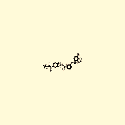 CC(C)(C)OC(=O)NC1CCc2nc(NC(=O)c3cccc(CNc4ncc(Br)c5c4CCO5)c3)sc2C1